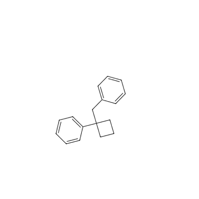 c1ccc(CC2(c3ccccc3)CCC2)cc1